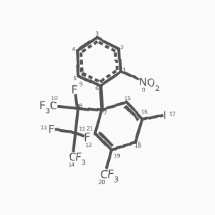 O=[N+]([O-])c1ccccc1C1(C(F)(C(F)(F)F)C(F)(F)C(F)(F)F)C=C(I)[CH]C(C(F)(F)F)=C1